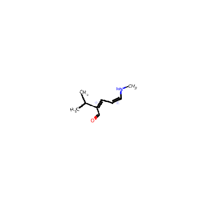 CN/C=C\C=C(/C=O)C(C)C